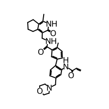 C=CC(=O)Nc1cc(CN2CCOCC2)ccc1-c1ccc(C)c(C(=O)NCc2c3c(c(C)[nH]c2=O)CCCC3)c1